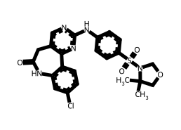 CC1(C)COCN1S(=O)(=O)c1ccc(Nc2ncc3c(n2)-c2ccc(Cl)cc2NC(=O)C3)cc1